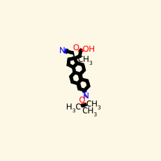 CC(C)(C)ON=C1C=C2CCC3C(=C2CC1)CC[C@@]1(C)C3CC[C@]1(CC#N)CC(=O)O